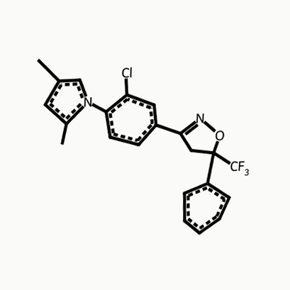 Cc1cc(C)n(-c2ccc(C3=NOC(c4ccccc4)(C(F)(F)F)C3)cc2Cl)c1